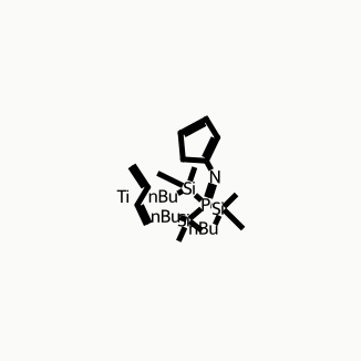 C=CC=C.CCCC[Si](C)(C)P(=NC1=CC=CC1)([Si](C)(C)CCCC)[Si](C)(C)CCCC.[Ti]